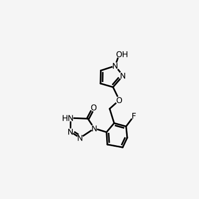 O=c1[nH]nnn1-c1cccc(F)c1COc1ccn(O)n1